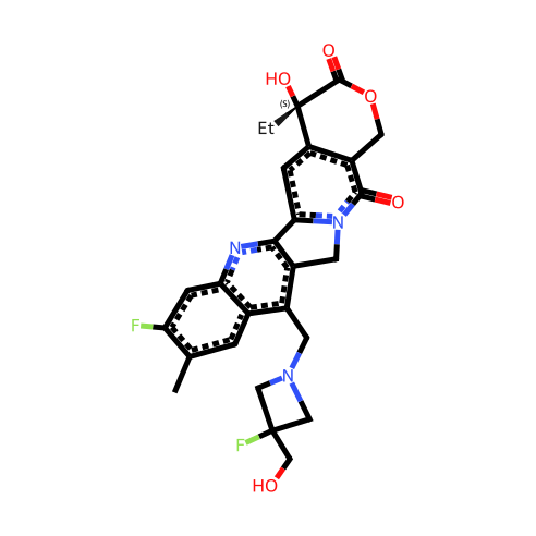 CC[C@@]1(O)C(=O)OCc2c1cc1n(c2=O)Cc2c-1nc1cc(F)c(C)cc1c2CN1CC(F)(CO)C1